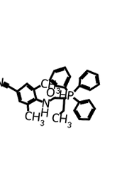 CCC(C(=O)Nc1c(C)cc(C#N)cc1C)[PH](c1ccccc1)(c1ccccc1)c1ccccc1